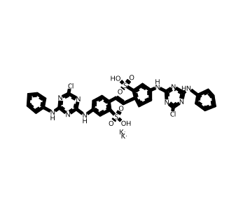 O=S(=O)(O)c1cc(Nc2nc(Cl)nc(Nc3ccccc3)n2)ccc1C=Cc1ccc(Nc2nc(Cl)nc(Nc3ccccc3)n2)cc1S(=O)(=O)O.[K].[K]